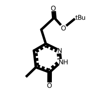 Cc1cc(CC(=O)OC(C)(C)C)n[nH]c1=O